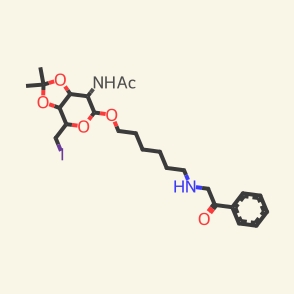 CC(=O)NC1C(OCCCCCCNCC(=O)c2ccccc2)OC(CI)C2OC(C)(C)OC12